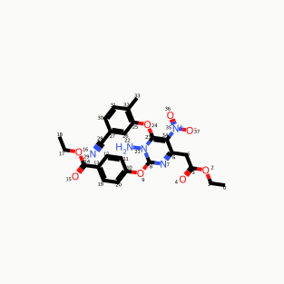 CCOC(=O)CC1=NC(Oc2ccc(C(=O)OCC)cc2)N(N)C(Oc2cc(C#N)ccc2C)=C1[N+](=O)[O-]